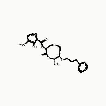 COc1ccnc(C(=O)N[C@H]2COCC[C@@H](OCCCc3ccccc3)[C@H](C)OC2=O)c1O